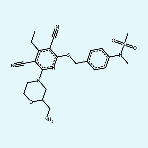 CCc1c(C#N)c(SCc2ccc(N(C)S(C)(=O)=O)cc2)nc(N2CCOC(CN)C2)c1C#N